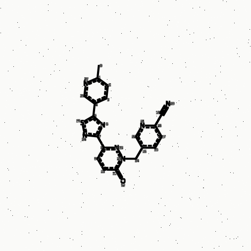 Cc1ccc(-c2nc(-c3ccc(=O)n(Cc4ccc(C#N)nc4)n3)ns2)cn1